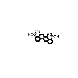 OB(O)c1cccc2cc3c(ccc4c(B(O)O)cccc43)cc12